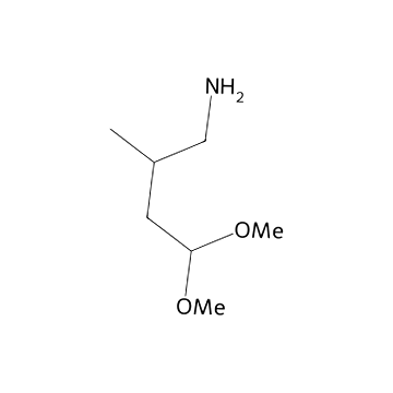 COC(CC(C)CN)OC